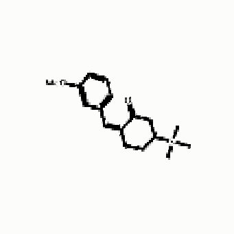 COc1cccc(/C=C2/CCC([Si](C)(C)C)CC2=O)c1